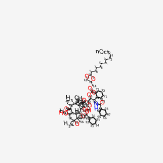 CCCCCCCC/C=C\CCCCCCCC1OCC(COC(=O)O[C@@H](C(=O)O[C@H]2C[C@@]3(O)[C@@H](OC(=O)c4ccccc4)[C@H]4[C@](C)(C(=O)[C@H](C)C(=C2C)C3(C)C)[C@@H](O)C[C@@]2(C)OC[C@@]42OC(C)=O)[C@@H](NC(=O)c2ccccc2)c2ccccc2)O1